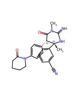 CN1C(=N)N[C@](C)(c2cccc(C#N)c2)[C@H](c2ccc(N3CCCCC3=O)cc2)C1=O